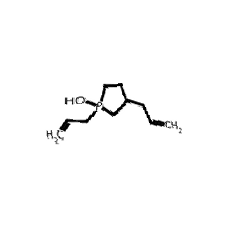 C=CCC1CC[P](O)(CC=C)C1